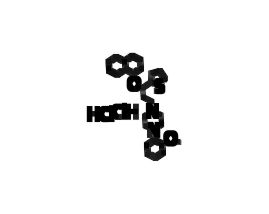 COc1ccccc1N1CCN(CCC(Oc2cccc3ccccc23)c2cccs2)CC1.Cl.Cl